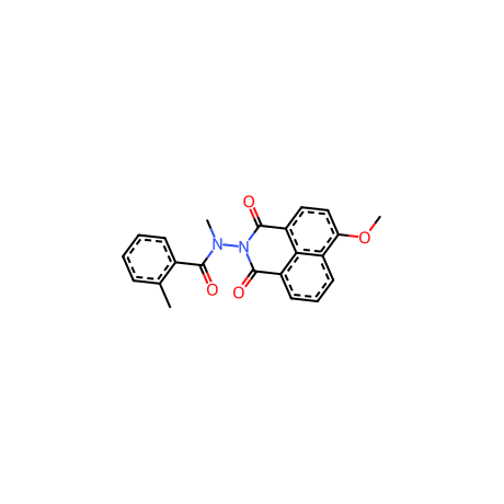 COc1ccc2c3c(cccc13)C(=O)N(N(C)C(=O)c1ccccc1C)C2=O